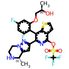 C[C@@H]1NCCn2nc(-c3nc(OS(=O)(=O)C(F)(F)F)c4ccsc4c3-c3c(F)cc(F)cc3OC[C@@H](C)O)cc21